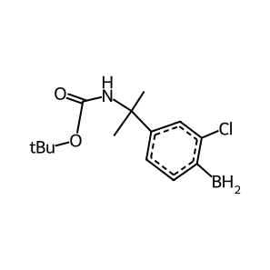 Bc1ccc(C(C)(C)NC(=O)OC(C)(C)C)cc1Cl